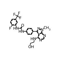 Cn1nc(-c2ccc(NC(=O)Nc3cc(C(F)(F)F)ccc3F)cc2)c2c(NCCO)ncnc21